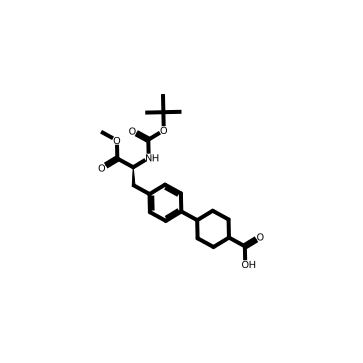 COC(=O)[C@H](Cc1ccc(C2CCC(C(=O)O)CC2)cc1)NC(=O)OC(C)(C)C